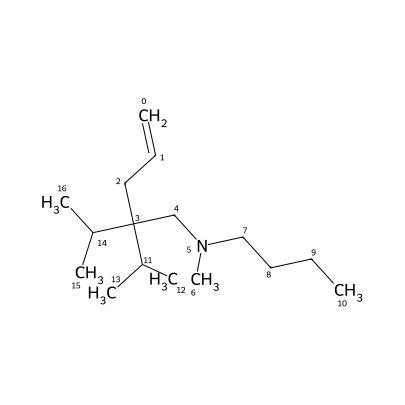 C=CCC(CN(C)CCCC)(C(C)C)C(C)C